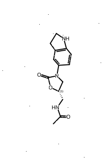 CC(=O)NC[C@H]1CN(c2ccc3c(c2)CCN3)C(=O)O1